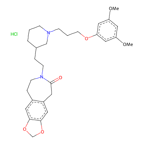 COc1cc(OC)cc(OCCCN2CCCC(CCN3CCc4cc5c(cc4CC3=O)OCO5)C2)c1.Cl